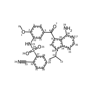 COc1ccc(C(=O)c2cn(C(C)C)c3ncnc(N)c23)cc1NS(=O)(=O)c1ccccc1C#N